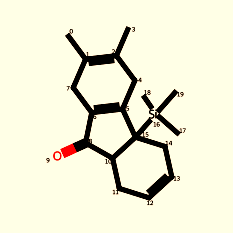 CC1=C(C)CC2=C(C1)C(=O)C1CC=CCC21[Si](C)(C)C